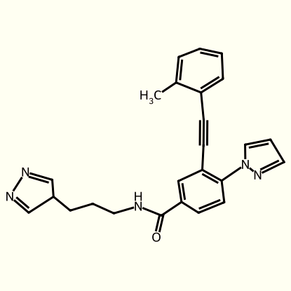 Cc1ccccc1C#Cc1cc(C(=O)NCCCC2C=NN=C2)ccc1-n1cccn1